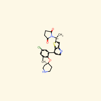 Cc1cc(Cl)cc(-c2ccnc3cc([C@H](C)N4C(=O)CCC4=O)sc23)c1OC1CCNCC1